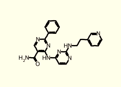 NC(=O)c1cnc(-c2ccccc2)nc1Nc1ccnc(NCCc2cccnc2)n1